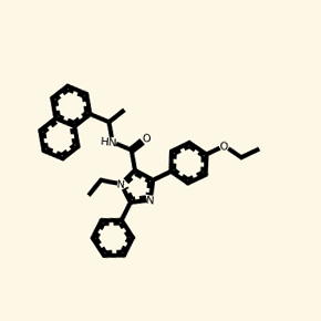 CCOc1ccc(-c2nc(-c3ccccc3)n(CC)c2C(=O)NC(C)c2cccc3ccccc23)cc1